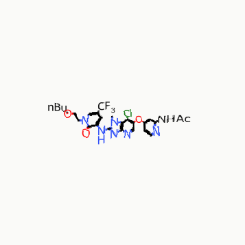 CCCCOCCn1cc(C(F)(F)F)cc(Nc2nc3ncc(Oc4ccnc(NC(C)=O)c4)c(Cl)c3n2C)c1=O